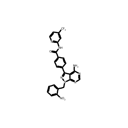 Nc1ncnc2c1c(-c1ccc(C(=O)Nc3cc(C(F)(F)F)ccn3)cc1)nn2Cc1ccccc1[N+](=O)[O-]